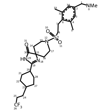 CNCc1cc(C)c(CCS(=O)(=O)N2CCC3(CC2)N=C(C2CCC(CCC(F)(F)F)CC2)NC3=O)c(C)c1